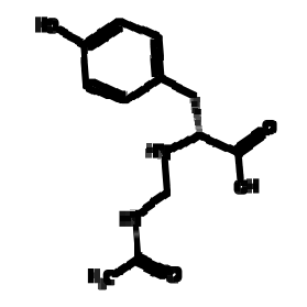 CC(=O)NCN[C@H](Cc1ccc(O)cc1)C(=O)O